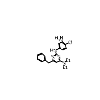 CCN(CC)c1cc(Cc2ccccc2)nc(Nc2ccc(Cl)c(N)c2)n1